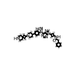 Cl.O=C(Cc1ccccc1)NC1CC(n2cnc3c(Nc4ccc(C5CCN(C6CC7(CCNCC7)C6)CC5)cc4)ncnc32)C1